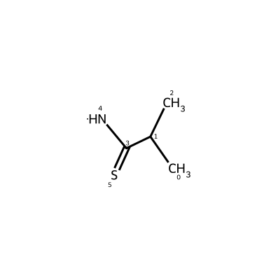 CC(C)C([NH])=S